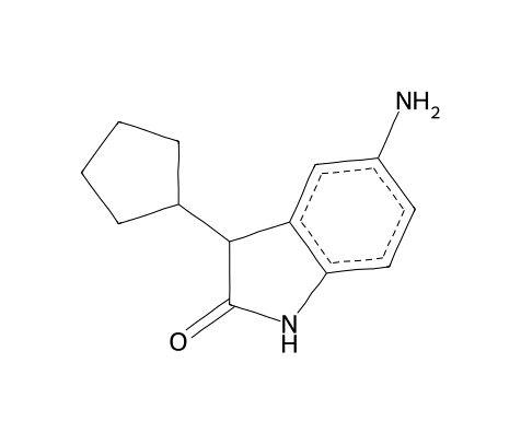 Nc1ccc2c(c1)C(C1CCCC1)C(=O)N2